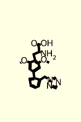 COc1cc(-c2ccccc2Cn2cncn2)cc(OC)c1CC(N)C(=O)O